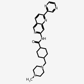 CN1CCN(CC2CCC(C(=O)Nc3cc4nc(-c5cnccn5)ccc4cn3)CC2)CC1